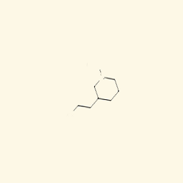 [CH2]CCN1CCCC(CCO)C1